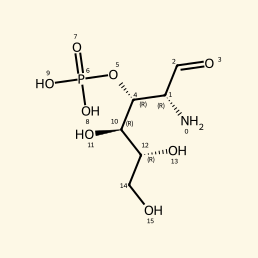 N[C@@H](C=O)[C@@H](OP(=O)(O)O)[C@H](O)[C@H](O)CO